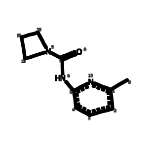 Cc1cccc(NC(=O)N2CCC2)n1